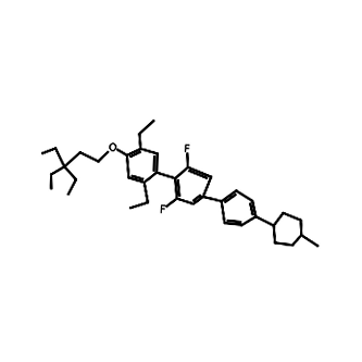 CCc1cc(-c2c(F)cc(-c3ccc(C4CCC(C)CC4)cc3)cc2F)c(CC)cc1OCCC(CC)(CC)CC